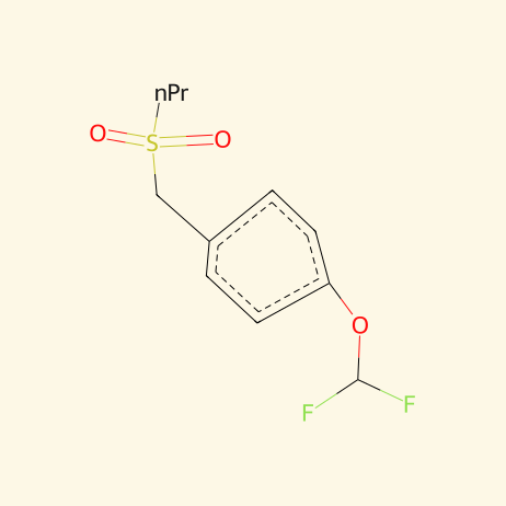 CCCS(=O)(=O)Cc1ccc(OC(F)F)cc1